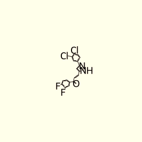 O=C(C=Cc1cc(-c2ccc(Cl)c(Cl)c2)n[nH]1)c1ccc(F)c(F)c1